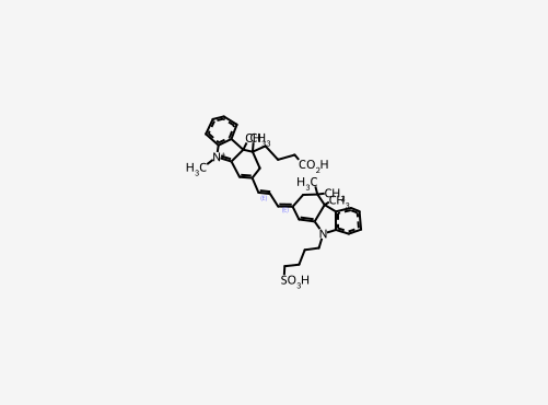 C[N+]1=C2C=C(/C=C/C=C3/C=C4N(CCCCS(=O)(=O)O)c5ccccc5C4(C)C(C)(C)C3)CC(C)(CCCC(=O)O)C2(C)c2ccccc21